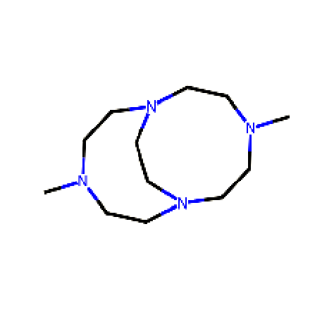 CN1CCN2CCN(C)CCN(CC1)CC2